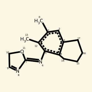 Cc1cc2c(c(N=C3N=CCO3)c1C)CCCC2